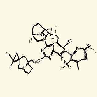 Cc1cc(N)nc(-c2c(Cl)c3c4c(nc(OCC56CCN5C[C@]5(C6)CC5(F)F)nc4c2F)N2C[C@H]4CC[C@H](N4)[C@H]2[C@H](C)O3)c1C(F)(F)F